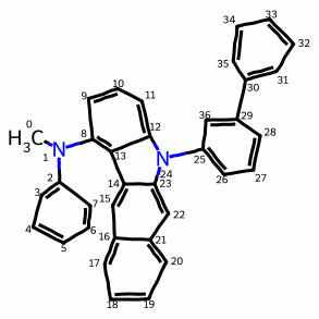 CN(c1ccccc1)c1cccc2c1c1cc3ccccc3cc1n2-c1cccc(-c2ccccc2)c1